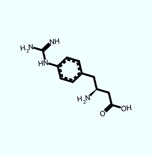 N=C(N)Nc1ccc(C[C@H](N)CC(=O)O)cc1